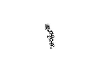 Cc1nc(-c2ccc(NC(=O)c3cccc(CN4CCS(=O)(=O)CC4)c3)cc2)oc1C